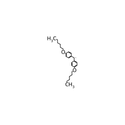 CCCCCCOc1ccc([CH]c2ccc(OCCCCCC)cc2)cc1